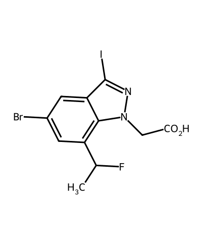 CC(F)c1cc(Br)cc2c(I)nn(CC(=O)O)c12